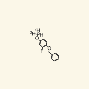 [2H]C([2H])([2H])Oc1ccc(OCc2ccccc2)c(F)c1